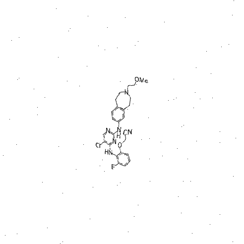 COCCN1CCc2ccc(Nc3ncc(Cl)c(Nc4c(F)cccc4OCC#N)n3)cc2CC1